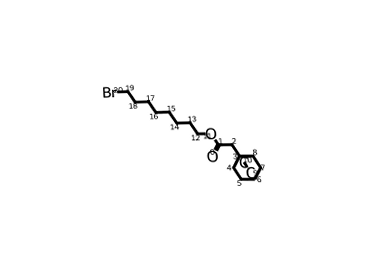 O=C(CC12CCC(CC1)CC2)OCCCCCCCCBr